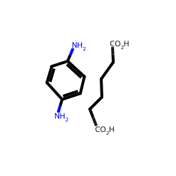 Nc1ccc(N)cc1.O=C(O)CCCCC(=O)O